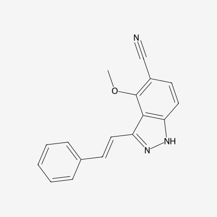 COc1c(C#N)ccc2[nH]nc(C=Cc3ccccc3)c12